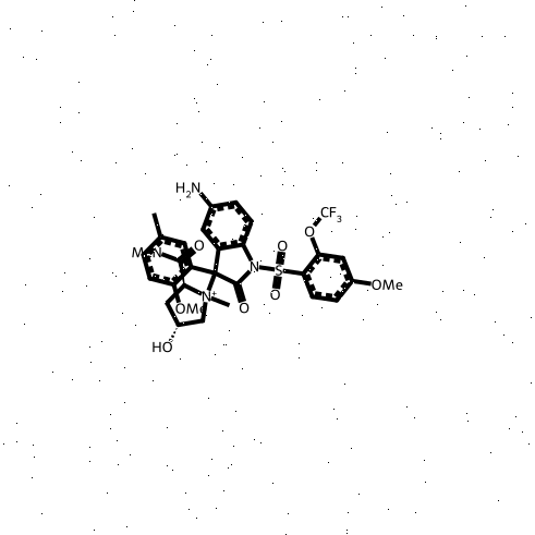 CNC(=O)[C@@H]1C[C@@H](O)C[N+]1(C)C1(c2cc(C)ccc2OC)C(=O)N(S(=O)(=O)c2ccc(OC)cc2OC(F)(F)F)c2ccc(N)cc21